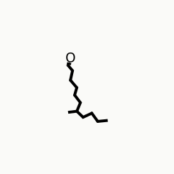 CCCCC(C)CCCCCC=O